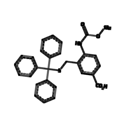 CC(C)(C)OC(=O)Nc1ccc(C(=O)O)cc1CSC(c1ccccc1)(c1ccccc1)c1ccccc1